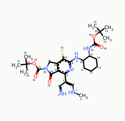 CN/C=C(\C=N)c1nc(NC2CCCC[C@@H]2NC(=O)OC(C)(C)C)c(F)c2c1C(=O)N(C(=O)OC(C)(C)C)C2